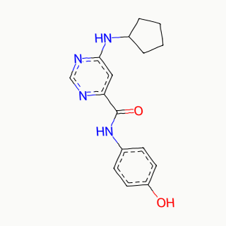 O=C(Nc1ccc(O)cc1)c1cc(NC2CCCC2)ncn1